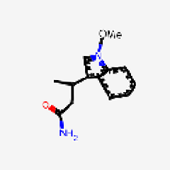 COn1cc(C(C)CC(N)=O)c2ccccc21